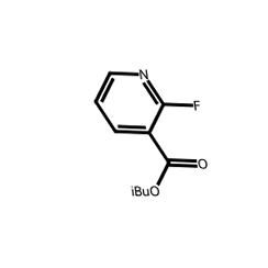 CC(C)COC(=O)c1cccnc1F